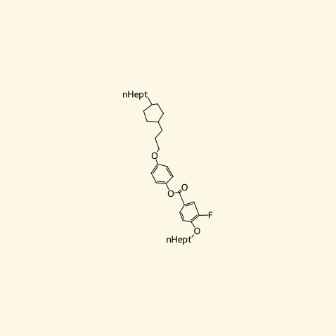 CCCCCCCOc1ccc(C(=O)Oc2ccc(OCCCC3CCC(CCCCCCC)CC3)cc2)cc1F